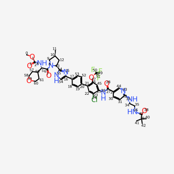 COC(=O)N[C@H](C(=O)N1C[C@@H](C)C[C@H]1c1nc(-c2ccc(-c3cc(Cl)c(NC(=O)c4ccc(NCCNC(=O)C(C)(C)C)nc4)cc3OC(F)(F)F)cc2)c[nH]1)C1CCOCC1